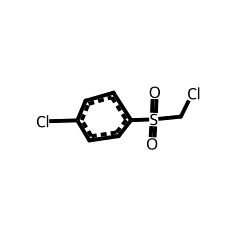 O=S(=O)(CCl)c1ccc(Cl)cc1